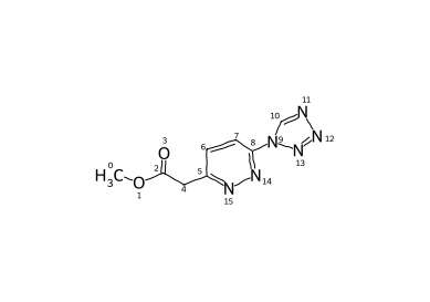 COC(=O)Cc1ccc(-n2cnnn2)nn1